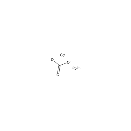 O=C([O-])[O-].[Cd].[Pb+2]